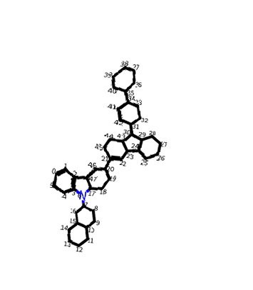 C1=CC2=C(CC1)N(C1CCC3CCCCC3C1)C1CCC(C3=CC4C5CCCCC5C(C5CCC(C6CCCCC6)CC5)C4CC3)CC21